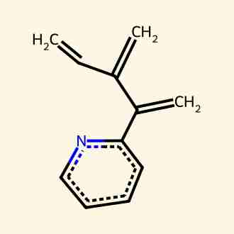 C=CC(=C)C(=C)c1ccccn1